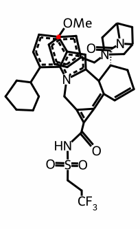 COc1ccc(C2CCCCC2)c2c1cc1n2CC2=C(C(=O)NS(=O)(=O)CCC(F)(F)F)C2=C2C=CC[C@@H](C(=O)N3C4CC3CN(Cc3ccccc3)C4)C21